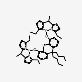 CCCCC1(CCCC)c2cccc(OP3n4c(CC)ccc4C(C)c4ccc(CC)n43)c2Oc2c(OP3n4c(CC)ccc4C(C)c4ccc(CC)n43)cccc21